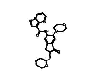 O=C(Nc1cc2c(cc1N1CCOCC1)C(=O)N(C[C@H]1CCCCO1)C2)c1cnn2cccnc12